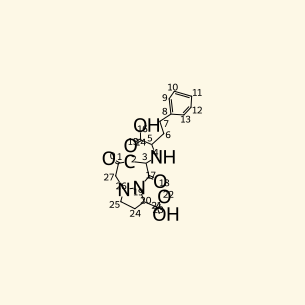 O=C1CC(NC(CCc2ccccc2)C(=O)O)C(=O)N2C(C(=O)O)CCN2C1